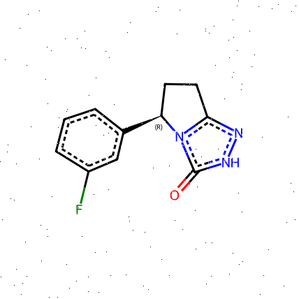 O=c1[nH]nc2n1[C@@H](c1cccc(F)c1)CC2